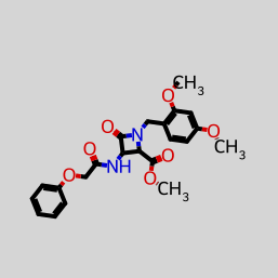 COC(=O)C1C(NC(=O)COc2ccccc2)C(=O)N1Cc1ccc(OC)cc1OC